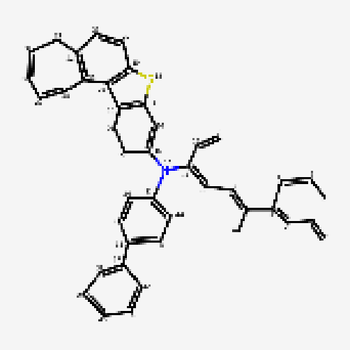 C=C/C=C(\C=C/C)C(/C)=C/C=C(\C=C)N(C1=Cc2sc3ccc4c(c3c2CC1)C=CC=CC4)c1ccc(-c2ccccc2)cc1